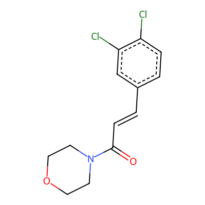 O=C(/C=C/c1ccc(Cl)c(Cl)c1)N1CCOCC1